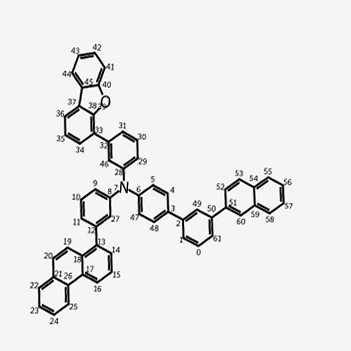 c1cc(-c2ccc(N(c3cccc(-c4cccc5c4ccc4ccccc45)c3)c3cccc(-c4cccc5c4oc4ccccc45)c3)cc2)cc(-c2ccc3ccccc3c2)c1